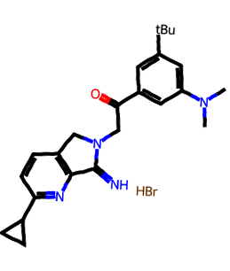 Br.CN(C)c1cc(C(=O)CN2Cc3ccc(C4CC4)nc3C2=N)cc(C(C)(C)C)c1